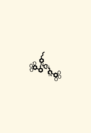 CCCCc1ccc(N(Cc2ccccc2-c2cc(OC)c(OC)c(OC)c2)C2CCN(Cc3ccnc(-c4cc(OC)c(OC)c(OC)c4)c3)CC2)cc1